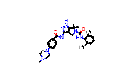 CC(C)c1cccc(C(C)C)c1NC(=O)N1Cc2c(NC(=O)c3ccc(N4CCN(C)CC4)cc3)n[nH]c2C1(C)C